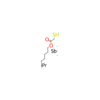 CC(C)CCCCCOC(=O)CS.[Sb]